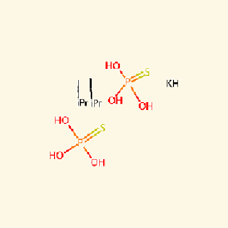 CC(C)C.CC(C)C.OP(O)(O)=S.OP(O)(O)=S.[KH]